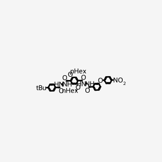 CCCCCCOc1cc(C(=O)NNC(=O)c2cccc(Oc3ccc([N+](=O)[O-])cc3)c2)c(OCCCCCC)cc1C(=O)NNC(=O)c1ccc(C(C)(C)C)cc1